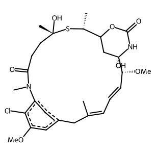 COc1cc2cc(c1Cl)N(C)C(=O)CC[C@](C)(O)S[C@H](C)C1C[C@@](O)(NC(=O)O1)[C@H](OC)/C=C/C=C(\C)C2